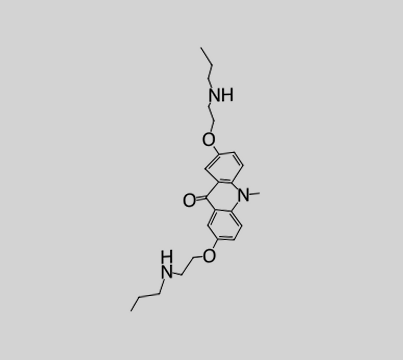 CCCNCCOc1ccc2c(c1)c(=O)c1cc(OCCNCCC)ccc1n2C